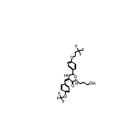 O=C(NCCCO)/C(=C\c1ccc(OC(F)(F)F)cc1)NC(=O)c1ccc(OCCC(F)(F)F)cc1